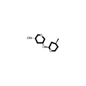 C[C@H]1CCO[C@@H](O[C@H]2COC[C@@H](N=O)C2)C1